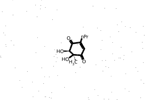 CCCC1=CC(=O)[C@@](C)(O)[C@@H](O)C1=O